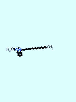 CCCCCCCCCCCCCCCCCC[n+]1ccn(CCC)c1Cc1ccccc1